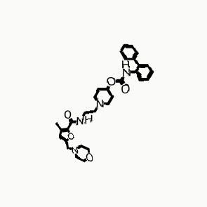 Cc1cc(CN2CCOCC2)oc1C(=O)NCCN1CCC(OC(=O)Nc2ccccc2-c2ccccc2)CC1